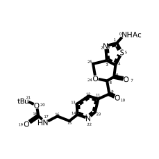 CC(=O)Nc1nc2c(s1)C(=O)C(C(=O)c1ccc(CCNC(=O)OC(C)(C)C)nc1)OC2